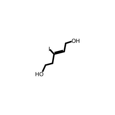 OC/C=C(\I)CCO